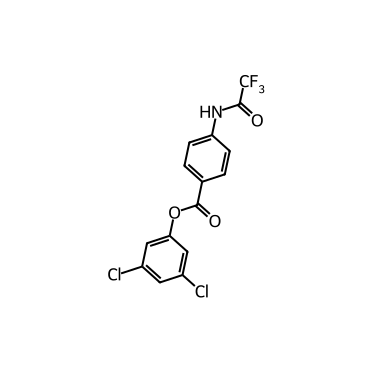 O=C(Oc1cc(Cl)cc(Cl)c1)c1ccc(NC(=O)C(F)(F)F)cc1